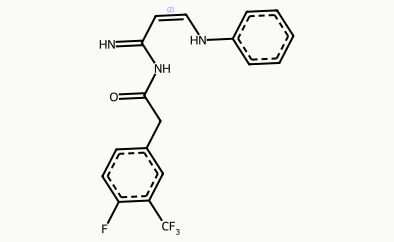 N=C(/C=C\Nc1ccccc1)NC(=O)Cc1ccc(F)c(C(F)(F)F)c1